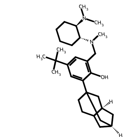 CN(C)[C@@H]1CCCC[C@H]1N(C)Cc1cc(C(C)(C)C)cc(C23CCC4C[C@H](C[C@@H]4C2)C3)c1O